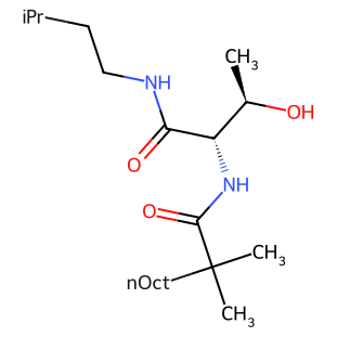 CCCCCCCCC(C)(C)C(=O)N[C@H](C(=O)NCCC(C)C)[C@@H](C)O